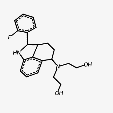 OCCN(CCO)C1CCC2c3c(cccc31)NC2c1ccccc1F